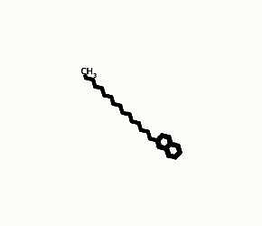 CCCCCCCCCCCCCCCCc1[c]c2ccccc2cc1